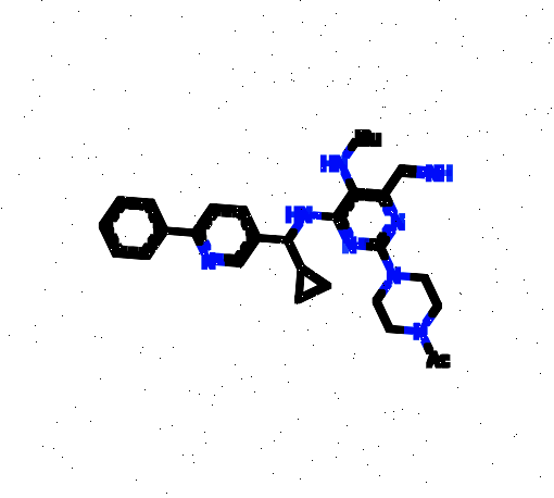 CCC(C)Nc1c(C=N)nc(N2CCN(C(C)=O)CC2)nc1NC(c1ccc(-c2ccccc2)nc1)C1CC1